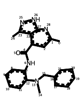 Cc1cc(C(=O)Nc2ccccc2N(C)Cc2ccccc2)c2c(C)n[nH]c2n1